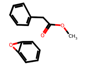 COC(=O)Cc1ccccc1.c1ccc2c(c1)O2